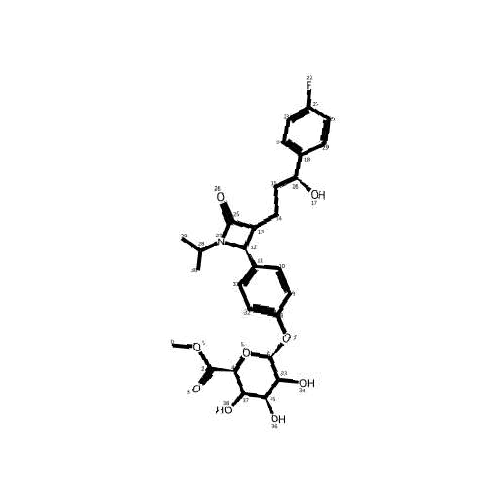 COC(=O)[C@H]1O[C@@H](Oc2ccc([C@@H]3C(CC[C@H](O)c4ccc(F)cc4)C(=O)N3C(C)C)cc2)C(O)[C@@H](O)C1O